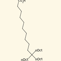 CCCCCCCCC(CCCCCCCC)(CCCCCCCC)CCCCCCCCCC(=O)O